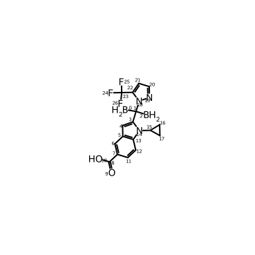 BC(B)(c1cc2cc(C(=O)O)ccc2n1C1CC1)n1nccc1C(F)(F)F